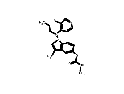 CCCN(c1ccncc1F)n1cc(C)c2cc(OC(=O)NC)ccc21